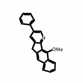 COc1c2c(cc3ccccc13)Cc1cc(-c3ccccc3)cnc1-2